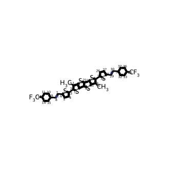 Cc1c(-c2ccc(/C=C/c3ccc(C(F)(F)F)cc3)s2)sc2c1sc1c3sc(-c4ccc(/C=C/c5ccc(C(F)(F)F)cc5)s4)c(C)c3sc21